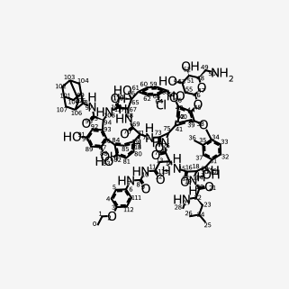 CCOc1ccc(NC(=O)NC(=O)C[C@@H]2NC(=O)[C@H](NC(=O)[C@@H](CC(C)C)NC)[C@H](O)c3ccc(c(C)c3)Oc3cc4cc(c3O[C@@H]3O[C@H](CN)[C@@H](O)[C@H](O)[C@H]3O)Oc3ccc(cc3Cl)[C@@H](O)[C@@H]3NC(=O)[C@H](NC(=O)C4NC2=O)c2ccc(O)c(c2)-c2c(O)cc(O)cc2[C@@H](C(=O)NC2C4CC5CC(C4)CC2C5)NC3=O)cc1